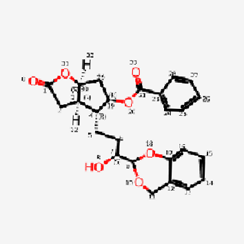 O=C1C[C@@H]2[C@@H](CC[C@H](O)C3OCc4ccccc4O3)[C@H](OC(=O)c3ccccc3)C[C@@H]2O1